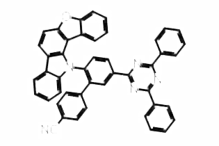 N#Cc1ccc(-c2cc(-c3nc(-c4ccccc4)nc(-c4ccccc4)n3)ccc2-n2c3ccccc3c3ccc4oc5ccccc5c4c32)cc1